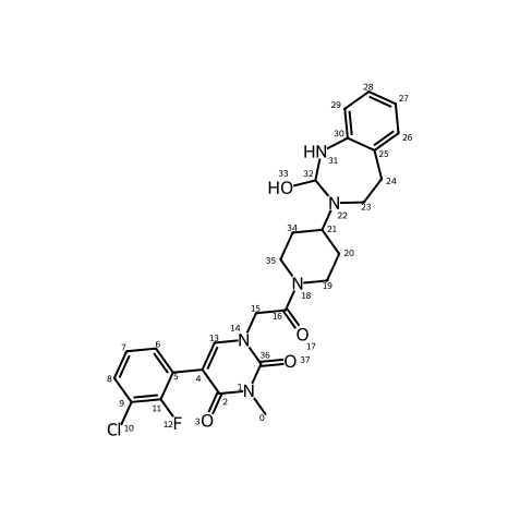 Cn1c(=O)c(-c2cccc(Cl)c2F)cn(CC(=O)N2CCC(N3CCc4ccccc4NC3O)CC2)c1=O